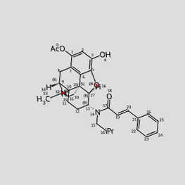 CC(=O)Oc1cc(O)c2c3c1C[C@@H]1[C@@H]4CC[C@@H](N(CC(C)C)C(=O)C=Cc5ccccc5)[C@H](O2)[C@]34CCN1C